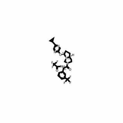 O=C([C@H](NC(=O)C(F)(F)F)c1cccc(C(F)(F)F)c1)N1CC[C@@H]2CC[C@H](Oc3cnc(C4CC4)cn3)N2C1